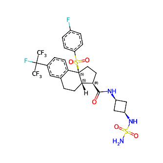 NS(=O)(=O)N[C@H]1C[C@@H](NC(=O)[C@@H]2CC[C@@]3(S(=O)(=O)c4ccc(F)cc4)c4ccc(C(F)(C(F)(F)F)C(F)(F)F)cc4CC[C@@H]23)C1